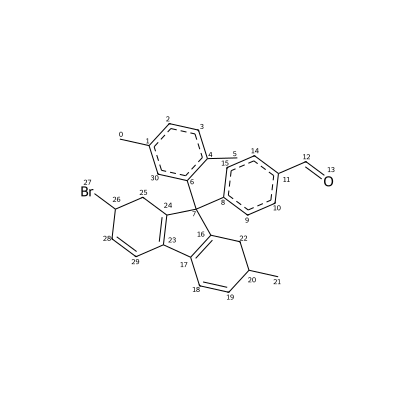 Cc1ccc(C)c(C2(c3ccc(C=O)cc3)C3=C(C=CC(C)C3)C3=C2CC(Br)C=C3)c1